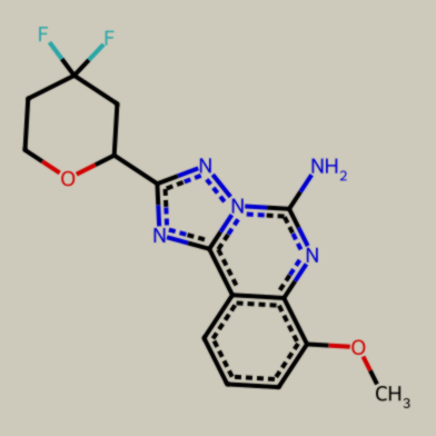 COc1cccc2c1nc(N)n1nc(C3CC(F)(F)CCO3)nc21